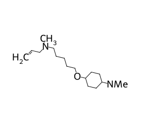 C=CCN(C)CCCCCOC1CCC(NC)CC1